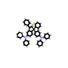 C1=CCC(N(c2ccccc2)c2ccc3c(c2)-c2c(sc4ccccc24)C32c3ccccc3-c3cc(N(c4ccccc4)c4ccccc4)ccc32)C=C1